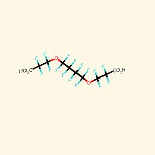 O=C(O)C(F)(F)C(F)(F)OC(F)(F)C(F)(F)C(F)(F)C(F)(F)OC(F)(F)C(F)(F)C(=O)O